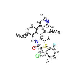 CN[C@H]1CC[C@H](N(Cc2cc(-c3cc(C)nc(C)c3)ccc2OC)C(=O)c2sc3c(F)ccc(C)c3c2Cl)CC1